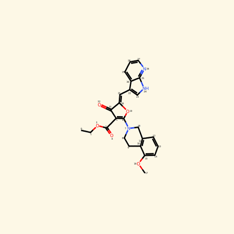 CCOC(=O)C1=C(N2CCc3c(cccc3OC)C2)OC(=Cc2c[nH]c3ncccc23)C1=O